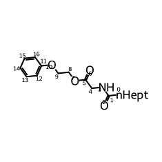 CCCCCCCC(=O)NCC(=O)OCCOc1ccccc1